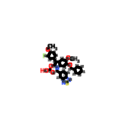 COc1ccc(-c2c(OC(=O)O)n(Cc3ccc4nsnc4c3)c3cc(OCc4ccccc4)c(OC)cc23)cc1F